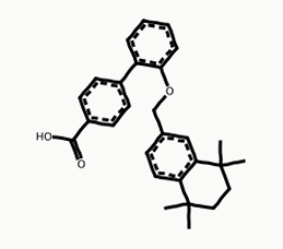 CC1(C)CCC(C)(C)c2cc(COc3ccccc3-c3ccc(C(=O)O)cc3)ccc21